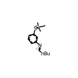 CCCC/C=N/c1cccc(S[Si](C)(C)C)c1